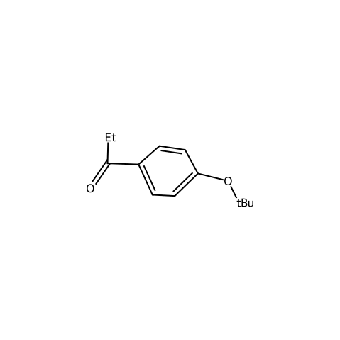 CCC(=O)c1ccc(OC(C)(C)C)cc1